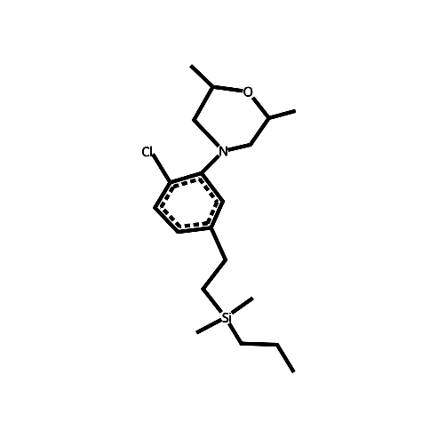 CCC[Si](C)(C)CCc1ccc(Cl)c(N2CC(C)OC(C)C2)c1